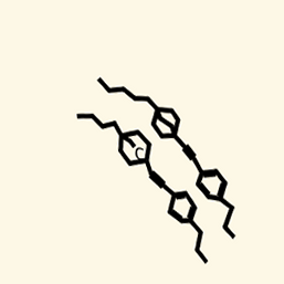 CCCCC12CCC(C#Cc3ccc(CCC)cc3)(CC1)CC2.CCCCCC12CCC(C#Cc3ccc(CCC)cc3)(CC1)CC2